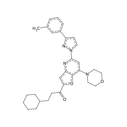 Cc1cccc(-c2ccn(-c3cc(N4CCOCC4)c4oc(C(=O)CCC5CCCCC5)cc4n3)n2)c1